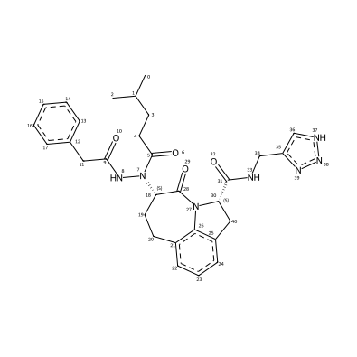 CC(C)CCC(=O)N(NC(=O)Cc1ccccc1)[C@H]1CCc2cccc3c2N(C1=O)[C@H](C(=O)NCc1c[nH]nn1)C3